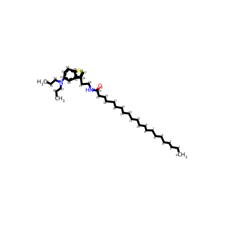 CCCCCCCCCCCCCCCCCCCCCC(=O)NCCc1csc2ccc(N(CCC)CCC)cc12